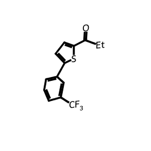 CCC(=O)c1ccc(-c2cccc(C(F)(F)F)c2)s1